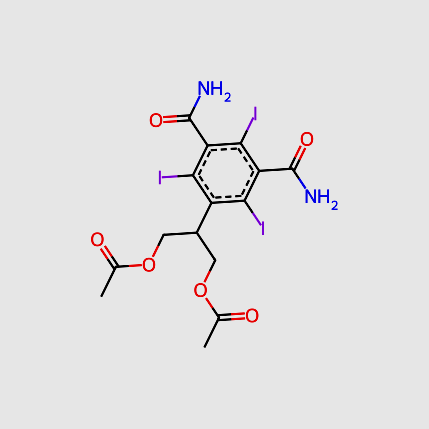 CC(=O)OCC(COC(C)=O)c1c(I)c(C(N)=O)c(I)c(C(N)=O)c1I